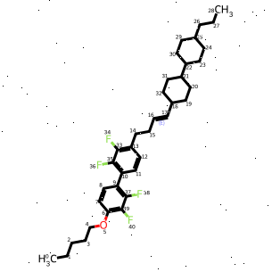 CCCCCOc1ccc(-c2ccc(CC/C=C/C3CCC(C4CCC(CCC)CC4)CC3)c(F)c2F)c(F)c1F